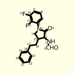 O=CNC1C(=O)N(c2cccc(F)c2F)CC1CCc1ccccc1